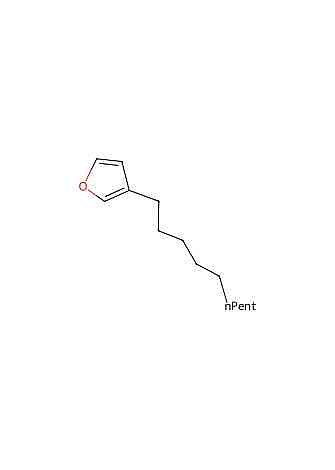 CCCCCCCCCCc1ccoc1